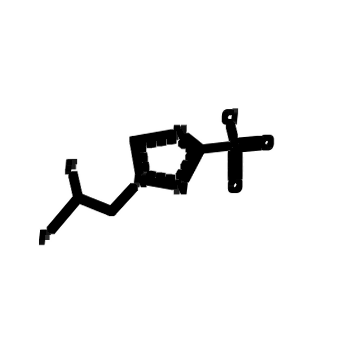 O=S(=O)(Cl)c1ncn(CC(F)F)n1